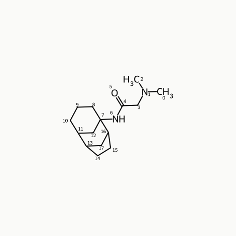 CN(C)CC(=O)NC12CCCC(C1)C1CCC2C1